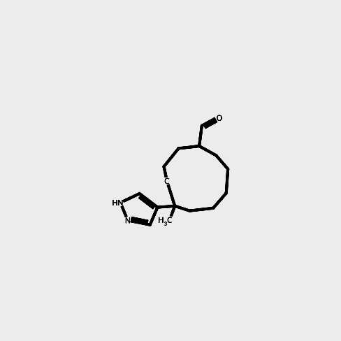 CC1(c2cn[nH]c2)CCCCCC(C=O)CCC1